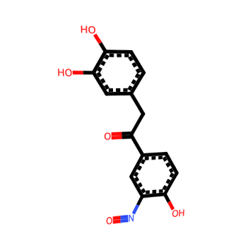 O=Nc1cc(C(=O)Cc2ccc(O)c(O)c2)ccc1O